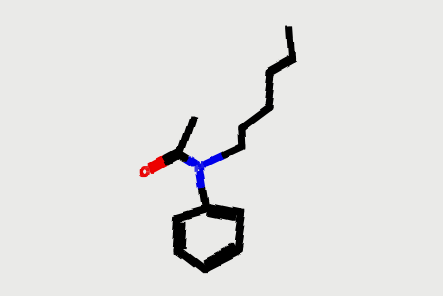 CCCCCCN(C(C)=O)c1ccccc1